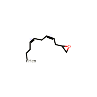 CCCCCCCC/C=C\C/C=C\CC1CO1